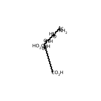 CC(=O)[C@@H](N)CCCCNC(=O)CCCCCNC(=O)CC[C@H](NC(=O)CCCCCCCCCCCCCCCCCCC(=O)O)C(=O)O